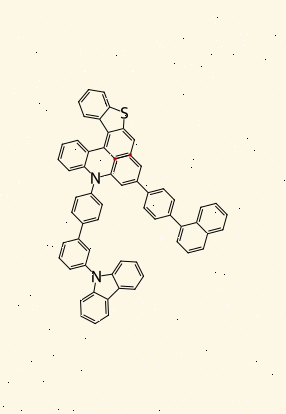 c1cc(-c2ccc(-c3cccc4ccccc34)cc2)cc(N(c2ccc(-c3cccc(-n4c5ccccc5c5ccccc54)c3)cc2)c2ccccc2-c2cccc3sc4ccccc4c23)c1